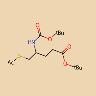 CC(=O)SCC(CCC(=O)OC(C)(C)C)NC(=O)OC(C)(C)C